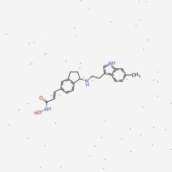 Cc1ccc2c(CCNC3CCc4cc(/C=C/C(=O)NO)ccc43)c[nH]c2c1